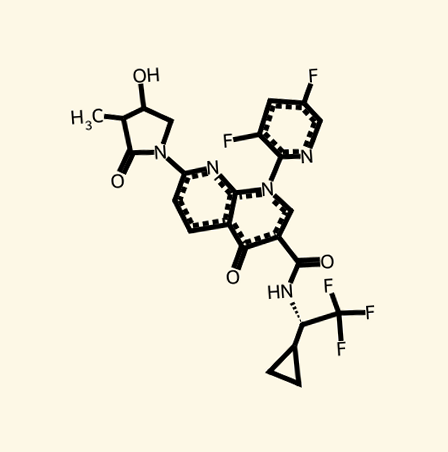 CC1C(=O)N(c2ccc3c(=O)c(C(=O)N[C@@H](C4CC4)C(F)(F)F)cn(-c4ncc(F)cc4F)c3n2)CC1O